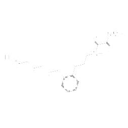 CNC(=O)C(=O)NCCCc1ccccc1CCCCCCO